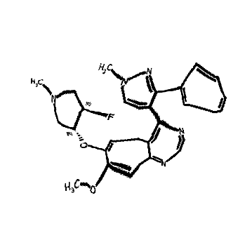 COc1cc2ncnc(-c3cn(C)nc3-c3ccccc3)c2cc1O[C@@H]1CN(C)C[C@H]1F